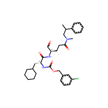 CC(CN(C)C(=O)CC[C@H](C=O)NC(=O)[C@@H](CC1CCCCC1)NC(=O)OCc1cccc(Cl)c1)c1ccccc1